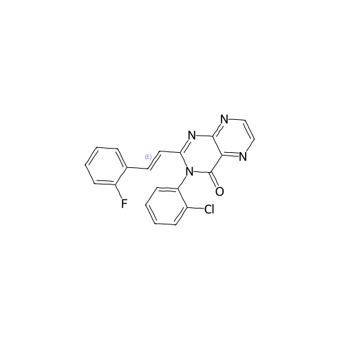 O=c1c2nccnc2nc(/C=C/c2ccccc2F)n1-c1ccccc1Cl